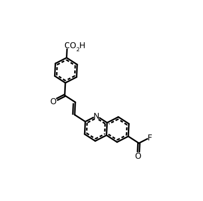 O=C(O)c1ccc(C(=O)C=Cc2ccc3cc(C(=O)F)ccc3n2)cc1